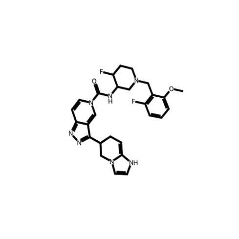 COc1cccc(F)c1CN1CCC(F)C(NC(=O)n2ccc3nnc(C4CC=C5NC=CN5C4)c-3c2)C1